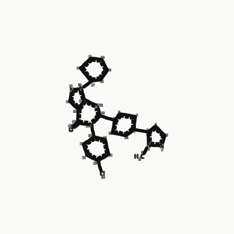 Cn1nccc1-c1ccc(-c2nc3c(cnn3-c3ccccc3)c(=O)n2-c2ccc(Cl)cc2)cc1